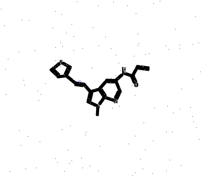 C=CC(=O)Nc1cnc2c(c1)c(/C=C/c1ccsc1)cn2C